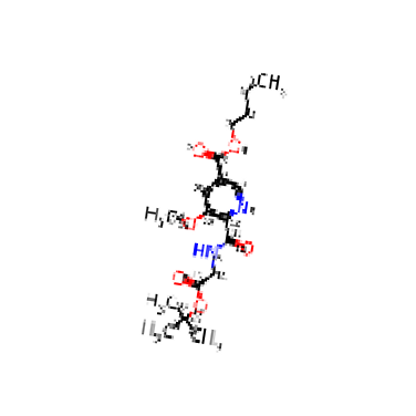 CCCCOC(=O)c1cnc(C(=O)NCC(=O)OC(C)(C)C)c(OC)c1